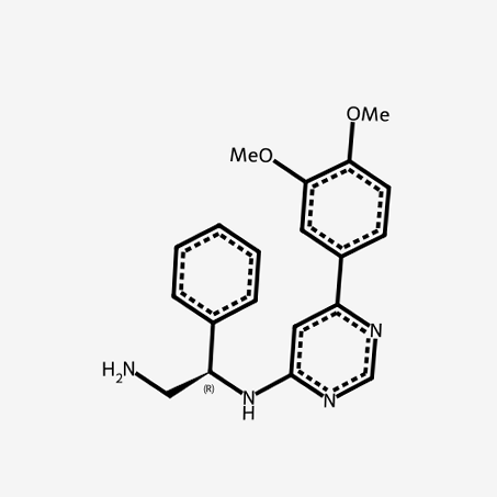 COc1ccc(-c2cc(N[C@@H](CN)c3ccccc3)ncn2)cc1OC